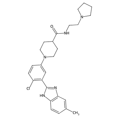 Cc1ccc2[nH]c(-c3cc(N4CCC(C(=O)NCCN5CCCC5)CC4)ccc3Cl)nc2c1